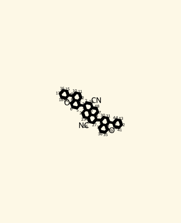 N#Cc1cc(-c2ccc3c4c(cccc24)-c2ccccc2O3)c2ccc3c(C#N)cc(-c4ccc5c6c(cccc46)Oc4ccccc4-5)c4ccc1c2c34